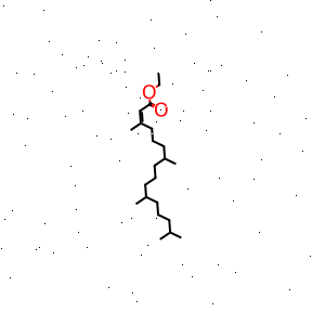 CCOC(=O)C=C(C)CCCC(C)CCCC(C)CCCC(C)C